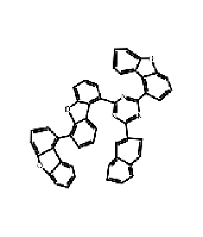 c1ccc2cc(-c3nc(-c4cccc5oc6ccccc6c45)nc(-c4cccc5oc6c(-c7cccc8oc9ccccc9c78)cccc6c45)n3)ccc2c1